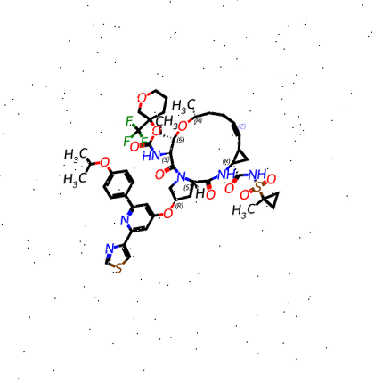 CC[C@@H]1O[C@H](C)CC/C=C\C2C[C@@]2(C(=O)NS(=O)(=O)C2(C)CC2)NC(=O)[C@@H]2C[C@@H](Oc3cc(-c4ccc(OC(C)C)cc4)nc(-c4cscn4)c3)CN2C(=O)[C@H]1NC(=O)OC1(C(F)(F)F)CCCOC1